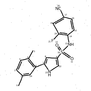 Cc1ccc(C)c(-c2cc(S(=O)(=O)Nc3ccc(C#N)cc3F)c[nH]2)c1